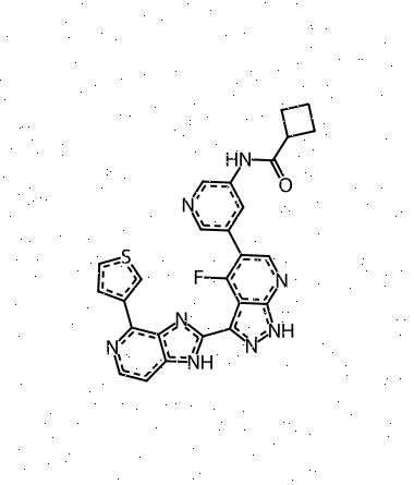 O=C(Nc1cncc(-c2cnc3[nH]nc(-c4nc5c(-c6ccsc6)nccc5[nH]4)c3c2F)c1)C1CCC1